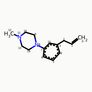 C=CCc1cccc(N2CCN(C)CC2)c1